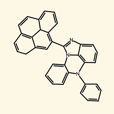 C1=CC2=C(c3nc4cccc5c4n3-c3ccccc3N5c3ccccc3)C=C3CC=CC4=C3C2C(=C1)C=C4